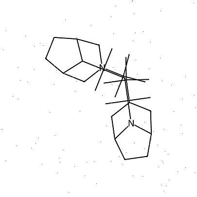 CC(C)(C)C1CC2CCC(C1)N2C(C)(C)CC(C)(C)C1C2CCC1CN(C(C)(C)C)C2